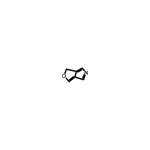 [C]1=NC=C2COC=C12